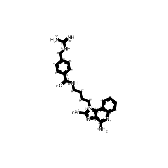 CCCc1nc2c(N)nc3ccccc3c2n1CCCCNC(=O)c1ccc(CNC(=N)N)cc1